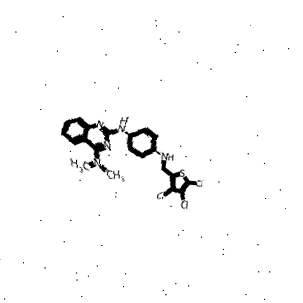 CN(C)c1nc(N[C@H]2CC[C@@H](NCc3sc(Cl)c(Cl)c3Cl)CC2)nc2ccccc12